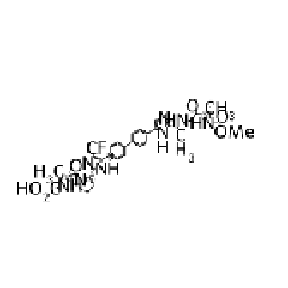 COC(=O)N[C@@H](C)C(=O)CNC(C)c1ncc(-c2ccc(-c3ccc(-c4[nH]c([C@@H]5CCCN5C(=O)[C@H](C)NC(=O)O)nc4C(F)(F)F)cc3)cc2)[nH]1